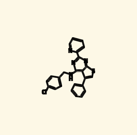 Clc1ccc(CNc2nc(-c3ccccn3)nc3scc(-c4ccccc4)c23)cc1